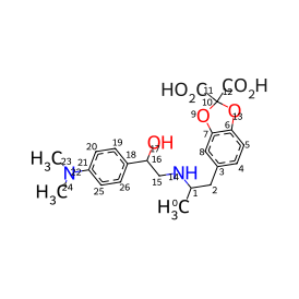 CC(Cc1ccc2c(c1)OC(C(=O)O)(C(=O)O)O2)NCC(O)c1ccc(N(C)C)cc1